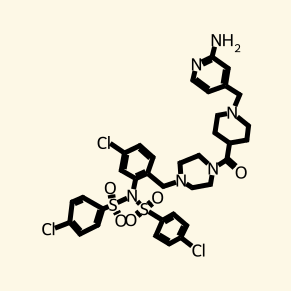 Nc1cc(CN2CCC(C(=O)N3CCN(Cc4ccc(Cl)cc4N(S(=O)(=O)c4ccc(Cl)cc4)S(=O)(=O)c4ccc(Cl)cc4)CC3)CC2)ccn1